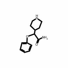 NC(=O)C(Oc1cc[c]cc1)C1CCNCC1